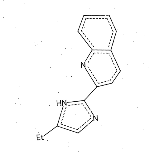 CCc1cnc(-c2ccc3ccccc3n2)[nH]1